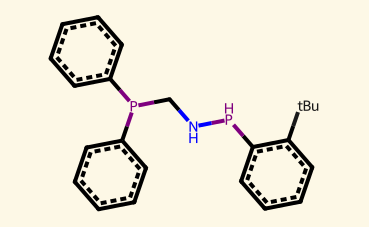 CC(C)(C)c1ccccc1PNCP(c1ccccc1)c1ccccc1